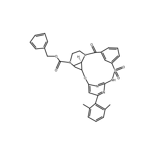 Cc1cccc(C)c1-c1cc2nc(n1)NS(=O)(=O)c1cccc(c1)C(=O)N1CCN(C(=O)OCc3ccccc3)CC(O2)[C@H]1C